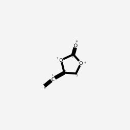 C=C=C1COC(=O)O1